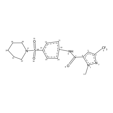 Cn1nc(C(F)(F)F)cc1C(=O)Nc1ccc(S(=O)(=O)N2CCCCC2)cc1